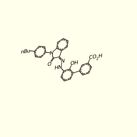 CCCCc1ccc(N2C(=O)C(=NNc3cccc(-c4cccc(C(=O)O)c4)c3O)c3ccccc32)cc1